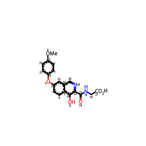 COc1ccc(Oc2ccc3c(O)c(C(=O)NCC(=O)O)ncc3c2)cc1